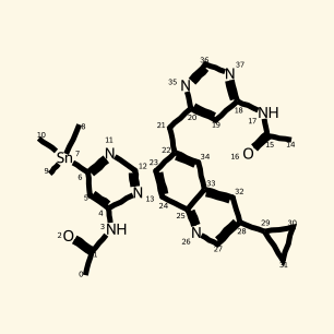 CC(=O)Nc1c[c]([Sn]([CH3])([CH3])[CH3])ncn1.CC(=O)Nc1cc(Cc2ccc3ncc(C4CC4)cc3c2)ncn1